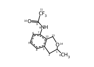 CC1Cc2cccc(NC(=O)C(F)(F)F)c2CO1